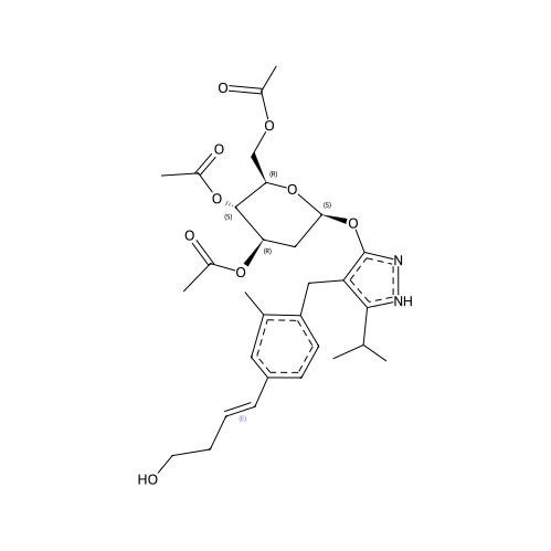 CC(=O)OC[C@H]1O[C@@H](Oc2n[nH]c(C(C)C)c2Cc2ccc(/C=C/CCO)cc2C)C[C@@H](OC(C)=O)[C@@H]1OC(C)=O